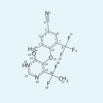 Cc1cc(C#N)cc(C(F)(F)F)c1Oc1c(C(C)(F)F)nc[nH]c1=O